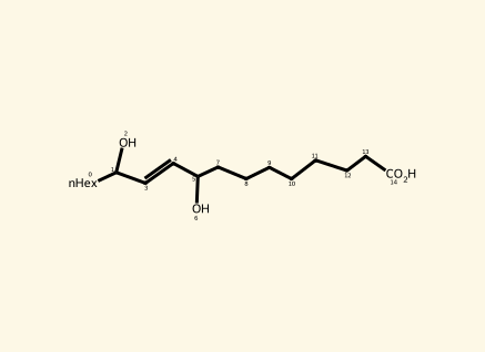 CCCCCCC(O)C=CC(O)CCCCCCCC(=O)O